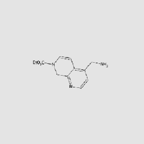 CCOC(=O)N1C=Cc2c(CN)ccnc2C1